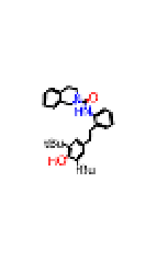 CC(C)(C)c1cc(CCc2ccccc2NC(=O)N2CCc3ccccc3C2)cc(C(C)(C)C)c1O